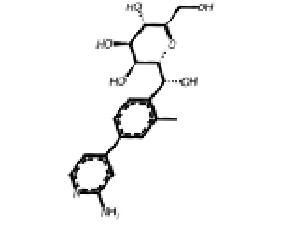 Cc1cc(-c2ccnc(N)c2)ccc1[C@@H](O)[C@H]1O[C@H](CO)[C@@H](O)[C@H](O)[C@@H]1O